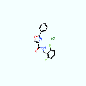 Cl.O=C(NCc1c(F)cccc1F)c1coc(-c2ccccc2)n1